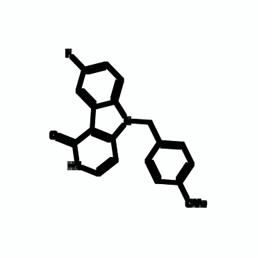 COc1ccc(Cn2c3ccc(F)cc3c3c(=O)[nH]ccc32)cc1